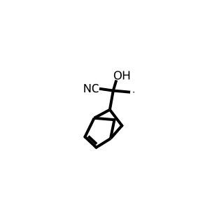 [CH2]C(O)(C#N)C1CC2C=CC1C2